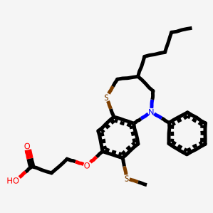 CCCCC1CSc2cc(OCCC(=O)O)c(SC)cc2N(c2ccccc2)C1